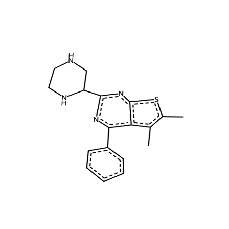 Cc1sc2nc(C3CNCCN3)nc(-c3ccccc3)c2c1C